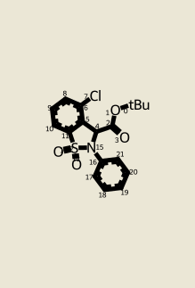 CC(C)(C)OC(=O)C1c2c(Cl)cccc2S(=O)(=O)N1c1ccccc1